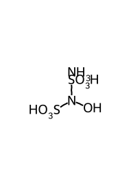 N.O=S(=O)(O)N(O)S(=O)(=O)O